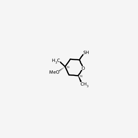 CO[C@]1(C)CC(S)O[C@@H](C)C1